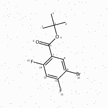 CC(C)(C)OC(=O)c1cc(Br)c(F)cc1F